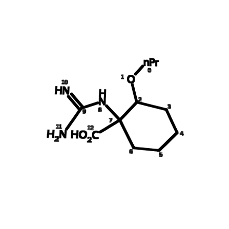 CCCOC1CCCCC1(NC(=N)N)C(=O)O